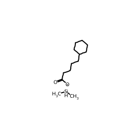 C[SiH](C)OC(=O)CCCCC1CCCCC1